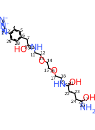 [N-]=[N+]=Nc1ccc(CC(O)NCCOCCOCCNC(O)[CH]CCC(N)O)cc1